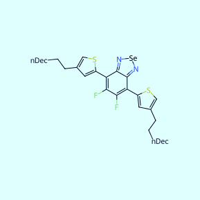 CCCCCCCCCCCCc1csc(-c2c(F)c(F)c(-c3cc(CCCCCCCCCCCC)cs3)c3n[se]nc23)c1